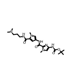 CN(C)CCCNC(=O)c1cc(NC(=O)c2nc(NC(=O)OC(C)(C)C)cn2C)cn1C